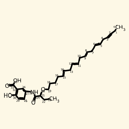 CCC=CCC=CCC=CCC=CCC=CCCCCOC(CC)C(=O)Nc1ccc(O)c(C(=O)O)c1